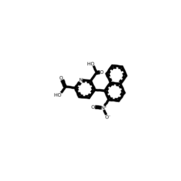 O=C(O)c1ccc(-c2c([N+](=O)[O-])ccc3ccccc23)c(C(=O)O)n1